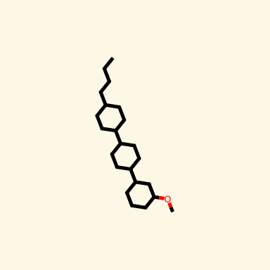 CCCCC1CCC(C2CCC(C3CCCC(OC)C3)CC2)CC1